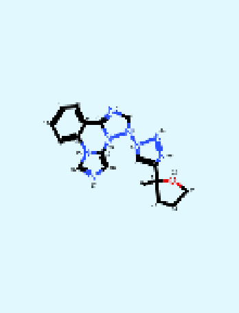 CC1(c2cn(N3CN=C4c5ccccc5-n5cncc5N43)nn2)CCCO1